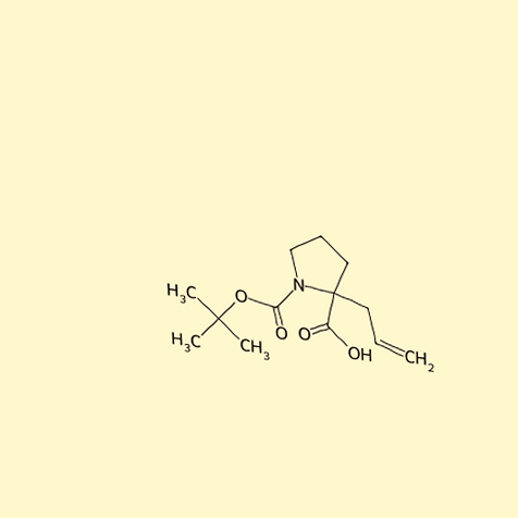 C=CCC1(C(=O)O)CCCN1C(=O)OC(C)(C)C